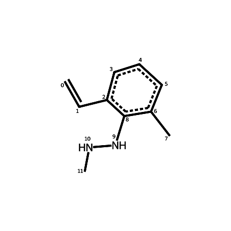 C=Cc1cccc(C)c1NNC